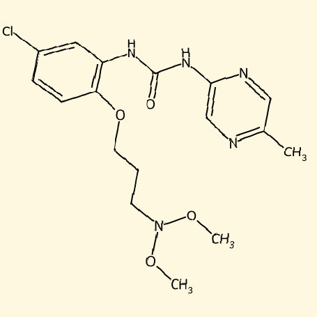 CON(CCCOc1ccc(Cl)cc1NC(=O)Nc1cnc(C)cn1)OC